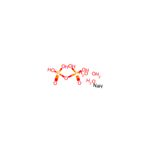 O.O.O.O=P(O)(O)OP(=O)(O)O.[NaH]